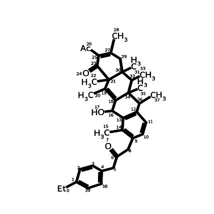 CCc1ccc(CC(=O)Cc2ccc3c(c2C)C(O)C2=C(C)C4(C)C(=O)C(C(C)=O)=C(C)CC4(C)C(C)C2(C)C3C)cc1